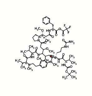 CCC(C)C(C(CC(=O)N1CCC[C@H]1[C@H](OC)[C@@H](C)C(=O)N[C@@H](Cc1ccccc1)C(=O)OC(=O)C(F)(F)F)OC)N(C)C(=O)[C@@H](NC(=O)[C@H](C(C)C)N(C)CCc1ccc(N(C)C(=O)[C@H](CCCNC(N)=O)NC(=O)[C@@H](NC(=O)OC(C)(C)C)C(C)C)cc1)C(C)C